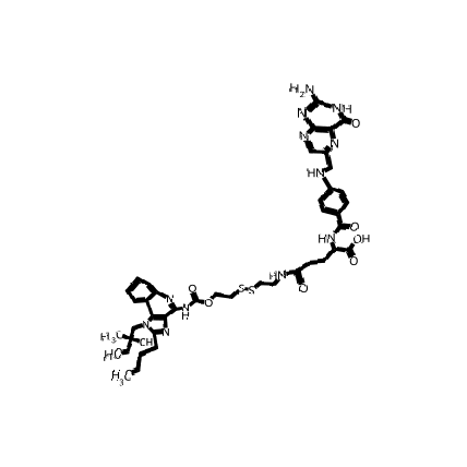 CCCCc1nc2c(NC(=O)OCCSSCCNC(=O)CCC(NC(=O)c3ccc(NCc4cnc5nc(N)[nH]c(=O)c5n4)cc3)C(=O)O)nc3ccccc3c2n1CC(C)(C)CO